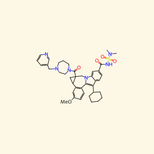 COc1ccc2c(c1)C1CC1(C(=O)N1CCCN(Cc3cccnc3)CC1)Cn1c-2c(C2CCCCC2)c2ccc(C(=O)NS(=O)(=O)N(C)C)cc21